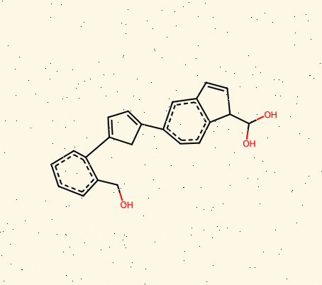 OCc1ccccc1C1=CC=C(c2ccc3c(c2)C=CC3C(O)O)C1